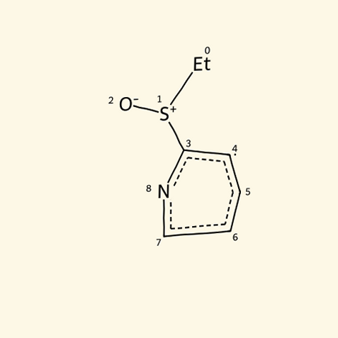 CC[S+]([O-])c1[c]cccn1